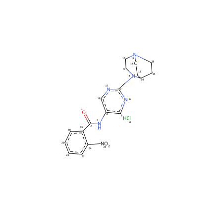 Cl.O=C(Nc1cnc(N2CCN3CCC2CC3)nc1)c1ccccc1[N+](=O)[O-]